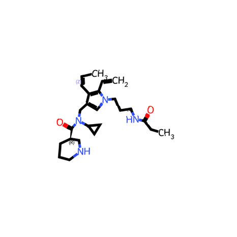 C=Cc1c(/C=C\C)c(CN(C(=O)[C@@H]2CCCNC2)C2CC2)cn1CCCNC(=O)CC